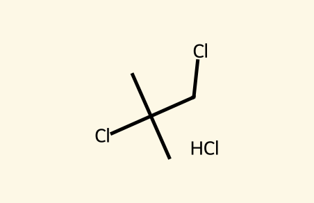 CC(C)(Cl)CCl.Cl